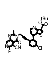 Cc1nc2cnc(F)c(C#N)c2c(=O)n1CC#Cc1ccc(Cl)cc1-c1ccnc2c(C(=O)OC(C)(C)C)csc12